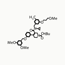 COCCCOc1cc(C)cc(CN(C(=O)C2=C(c3cccc(OCc4cc(OC)cc(OC)c4)c3)CCN(C(=O)OC(C)(C)C)C2)C2CC2)c1